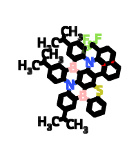 CC(C)c1ccc2c(c1)B1c3ccccc3Sc3c1c1c4c(c3-c3ccccc3)N(c3ccccc3C(F)(F)F)c3ccc(C(C)C)cc3B4c3cc(C(C)C)ccc3N21